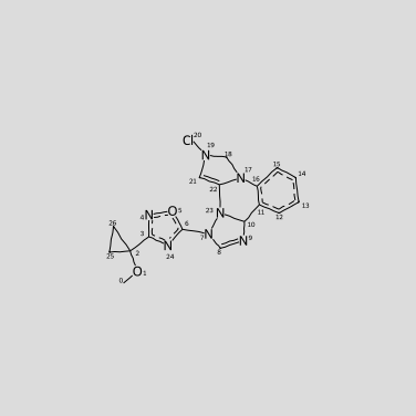 COC1(c2noc(N3C=NC4c5ccccc5N5CN(Cl)C=C5N43)n2)CC1